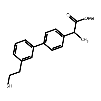 COC(=O)C(C)c1ccc(-c2cccc(CCS)c2)cc1